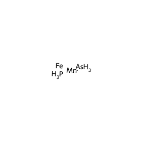 P.[AsH3].[Fe].[Mn]